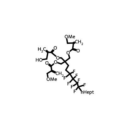 C=C(CO)C(=O)OCC(CCC(F)(F)C(F)(F)C(F)(F)C(F)(F)CCCCCCC)(COC(=O)C(=C)COC)COC(=O)C(=C)COC